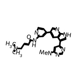 CNc1cc(-c2c[nH]c3ncc(-c4ccnc(NC(=O)/C=C/CN(C)C)c4)cc23)ncn1